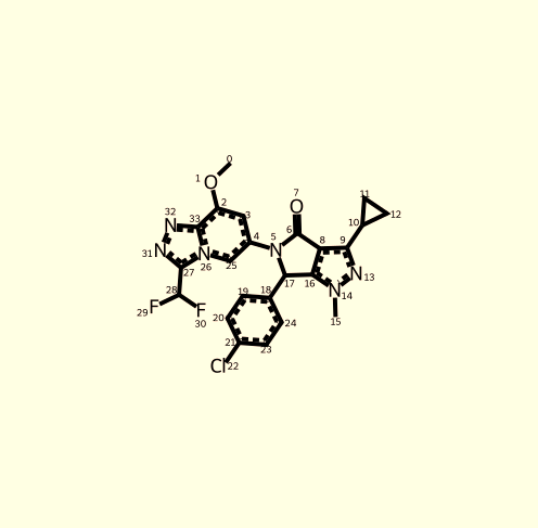 COc1cc(N2C(=O)c3c(C4CC4)nn(C)c3C2c2ccc(Cl)cc2)cn2c(C(F)F)nnc12